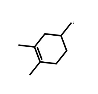 [CH]C1CCC(C)=C(C)C1